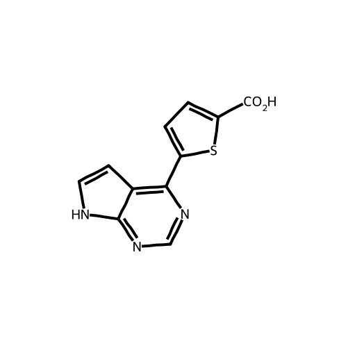 O=C(O)c1ccc(-c2ncnc3[nH]ccc23)s1